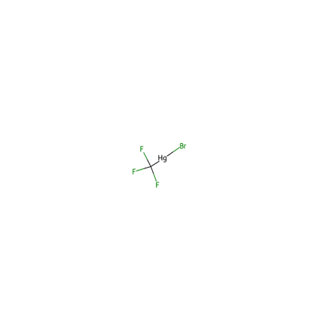 F[C](F)(F)[Hg][Br]